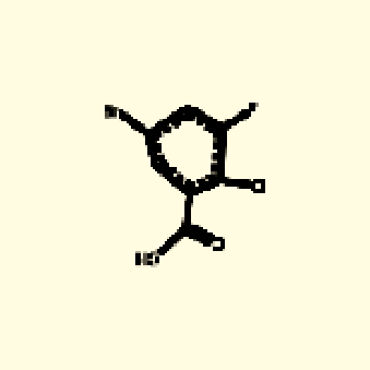 O=C(O)c1cc(Br)cc(F)c1Cl